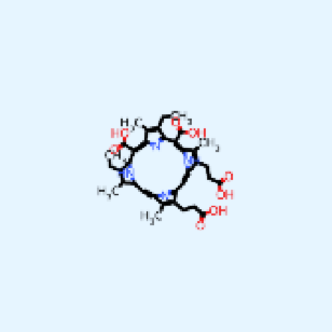 CCC1=C(C)C2=C(C(=O)O)C3NC(C=C4N=C(C=c5[nH]c(c(C)c5CCC(=O)O)=C(C(=O)O)C1=N2)C(CCC(=O)O)=C4C)C(C)C3CC